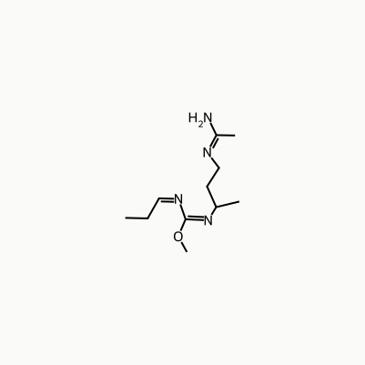 CC/C=N\C(=N/C(C)CC/N=C(\C)N)OC